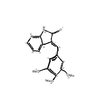 COc1cc(/C=C2/C(=O)Nc3ncccc32)cc(OC)c1OC